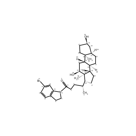 C[C@H](CCC(=O)N1CCc2ccc(Br)cc21)[C@H]1CC[C@H]2[C@@H]3CC[C@@H]4C[C@H](O)CC[C@]4(C)[C@H]3C[C@H](O)[C@]12C